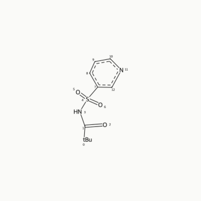 CC(C)(C)C(=O)NS(=O)(=O)c1cccnc1